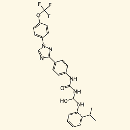 CC(C)c1ccccc1NC(O)NC(=O)Nc1ccc(-c2ncn(-c3ccc(OC(F)(F)F)cc3)n2)cc1